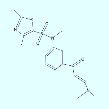 Cc1nc(C)c(S(=O)(=O)N(C)c2cccc(C(=O)C=CN(C)C)c2)s1